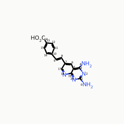 Nc1nc(N)c2cc(/C=C/c3ccc(C(=O)O)cc3)cnc2n1